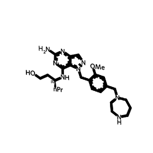 CCC[C@@H](CCO)Nc1nc(N)nc2cnn(Cc3ccc(CN4CCCNCC4)cc3OC)c12